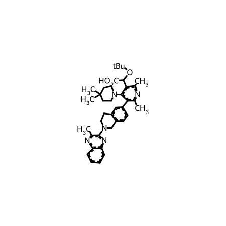 Cc1nc2ccccc2nc1N1CCc2cc(-c3c(C)nc(C)c(C(OC(C)(C)C)C(=O)O)c3N3CCC(C)(C)CC3)ccc2C1